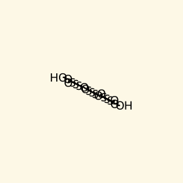 O=C(CSCSCSCCOOCSCSCSCOC(=O)CSCSCSCC(=O)OCCO)OCCO